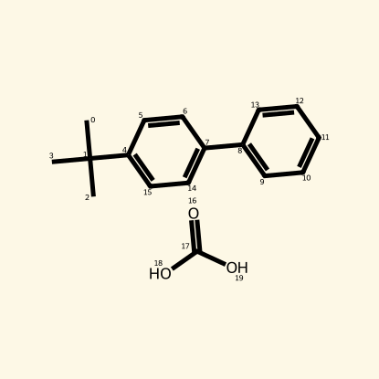 CC(C)(C)c1ccc(-c2ccccc2)cc1.O=C(O)O